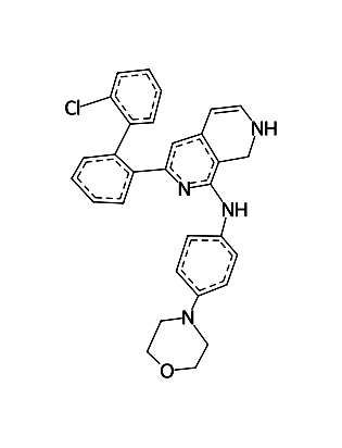 Clc1ccccc1-c1ccccc1-c1cc2c(c(Nc3ccc(N4CCOCC4)cc3)n1)CNC=C2